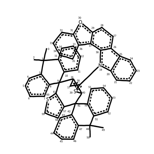 CC1(C)c2ccccc2C2(c3ccccc31)c1cc(-n3c4ccccc4c4ccc5oc6ccccc6c5c43)sc1C1(c3ccccc3C(C)(C)c3ccccc31)c1ccsc12